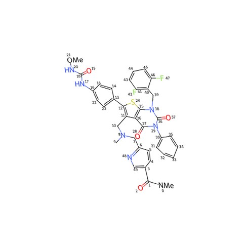 CNC(=O)c1ccc(CN(C)Cc2c(-c3ccc(NC(=O)NOC)cc3)sc3c2c(=O)n(-c2ccccc2)c(=O)n3Cc2c(F)cccc2F)nc1